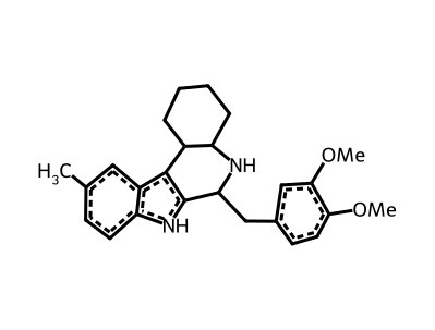 COc1ccc(CC2NC3CCCCC3c3c2[nH]c2ccc(C)cc32)cc1OC